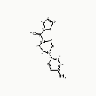 Nc1ccc(N2CCN(C(=O)C3CC=CC3)CC2)nc1